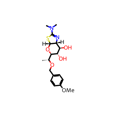 COc1ccc(CO[C@H](C)[C@H]2O[C@@H]3SC(N(C)C)=N[C@@H]3[C@@H](O)[C@@H]2O)cc1